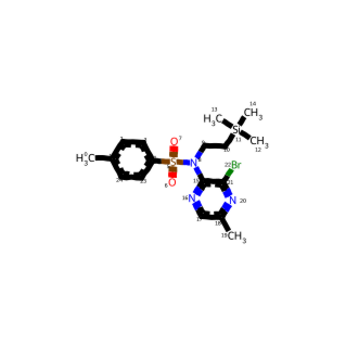 Cc1ccc(S(=O)(=O)N(CC[Si](C)(C)C)c2ncc(C)nc2Br)cc1